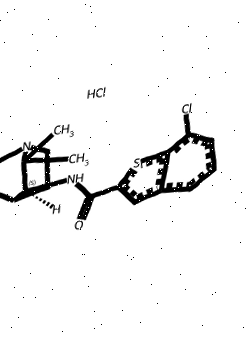 CC1(C)[C@@H](NC(=O)c2cc3cccc(Cl)c3s2)C2CCN1CC2.Cl